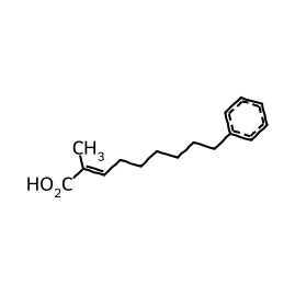 CC(=CCCCCCCc1ccccc1)C(=O)O